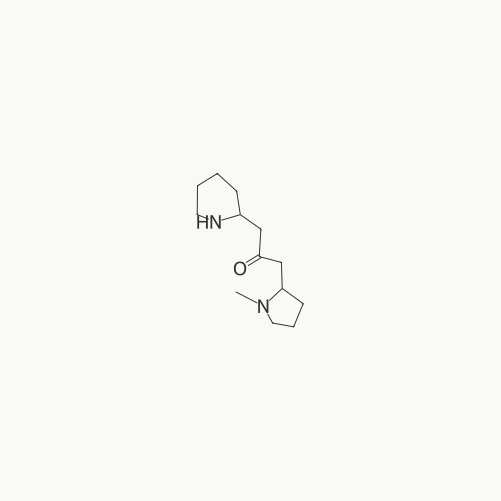 CN1CCCC1CC(=O)CC1CCCCN1